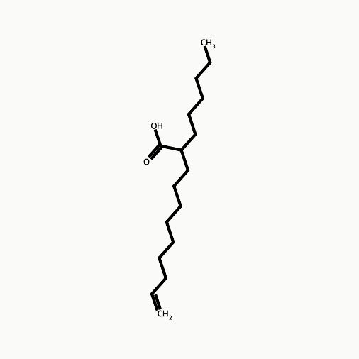 C=CCCCCCCCC(CCCCCC)C(=O)O